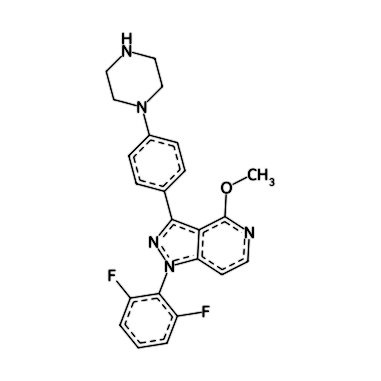 COc1nccc2c1c(-c1ccc(N3CCNCC3)cc1)nn2-c1c(F)cccc1F